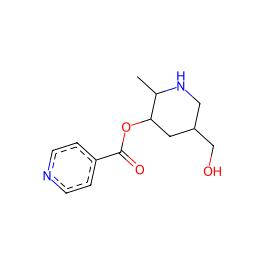 CC1NCC(CO)CC1OC(=O)c1ccncc1